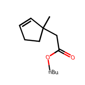 CCCCOC(=O)CC1(C)C=CCC1